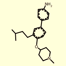 CC(C)CCc1cc(-c2ccc(N)cc2)ccc1OC1CCN(C)CC1